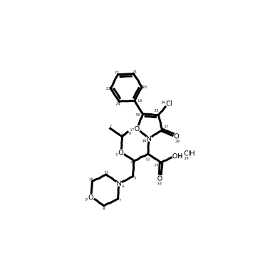 CC(C)OC(CN1CCOCC1)C(C(=O)O)n1oc(-c2ccccc2)c(Cl)c1=O.Cl